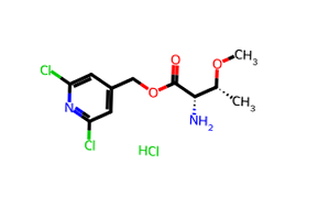 CO[C@H](C)[C@H](N)C(=O)OCc1cc(Cl)nc(Cl)c1.Cl